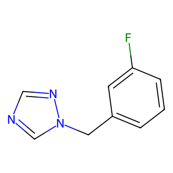 Fc1cccc(Cn2cncn2)c1